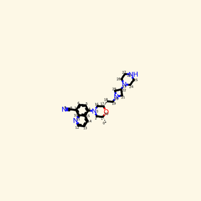 C[C@@H]1CN(c2ccc(C#N)c3ncccc23)C[C@H](CCN2CC(N3CCNCC3)C2)O1